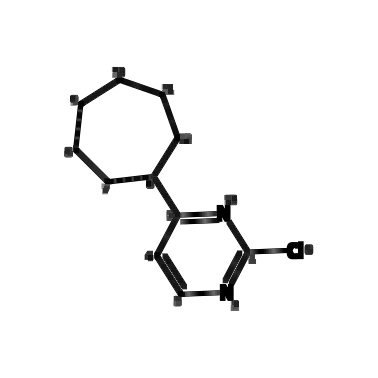 Clc1nccc(C2CCCCCC2)n1